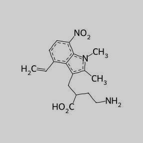 C=Cc1ccc([N+](=O)[O-])c2c1c(CC(CCN)C(=O)O)c(C)n2C